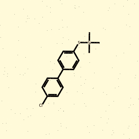 C[Si](C)(C)Sc1ccc(-c2ccc(Cl)cc2)cc1